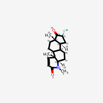 CN1C(=O)C=C[C@]2(C)C3CC[C@]4(C)C(=O)[C@@H](F)C[C@H]4C3CC[C@@H]12